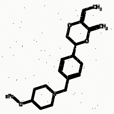 C=C1O[C@@H](C2C=CC(CN3CCC(OCCC)CC3)=CC2)CO/C1=C/C